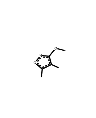 [CH2]Oc1noc(C)c1C